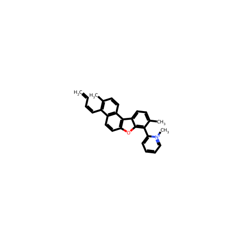 C=C/C=C\c1c(C)ccc2c1ccc1oc3c(-c4cccc[n+]4C)c(C)ccc3c12